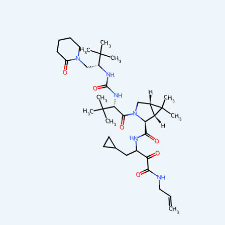 C=CCNC(=O)C(=O)C(CC1CC1)NC(=O)[C@@H]1[C@@H]2[C@H](CN1C(=O)[C@@H](NC(=O)N[C@H](CN1CCCCC1=O)C(C)(C)C)C(C)(C)C)C2(C)C